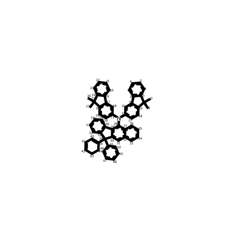 CC1(C)c2ccccc2-c2cc(N(c3ccc4c(c3)-c3ccccc3C4(C)C)c3c4c(cc5ccccc35)C(C3=CC=CCC3)(c3ccccc3)c3ccccc3-4)ccc21